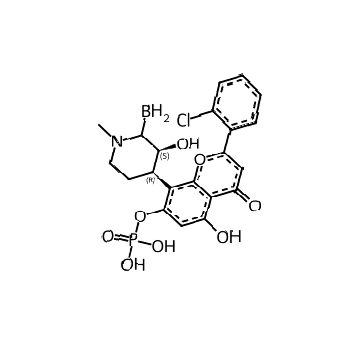 BC1[C@@H](O)[C@@H](c2c(OP(=O)(O)O)cc(O)c3c(=O)cc(-c4ccccc4Cl)oc23)CCN1C